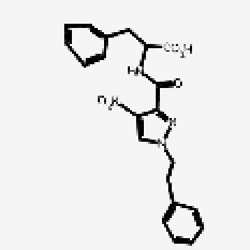 O=C(NC(Cc1ccccc1)C(=O)O)c1nn(CCc2ccccc2)cc1[N+](=O)[O-]